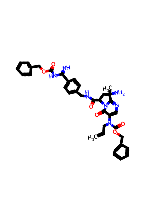 C=CCN(C(=O)OCc1ccccc1)c1cnc2n(c1=O)C(C(=O)NCc1ccc(C(=N)NC(=O)OCc3ccccc3)cc1)CC2(C)N